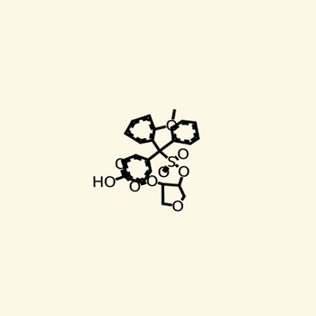 COc1ccccc1C(c1ccccc1)(c1ccccc1)S(=O)(=O)OC1COCC1OOC(=O)O